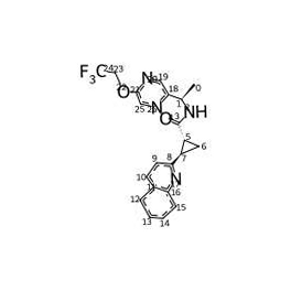 C[C@@H](NC(=O)[C@@H]1C[C@H]1c1ccc2ccccc2n1)c1cnc(OCC(F)(F)F)cn1